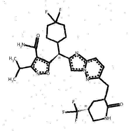 CC(C)c1noc([C@H](c2cn3nc(CC4C[C@@H](C(F)(F)F)CNC4=O)ccc3n2)C2CCC(F)(F)CC2)c1C(N)=O